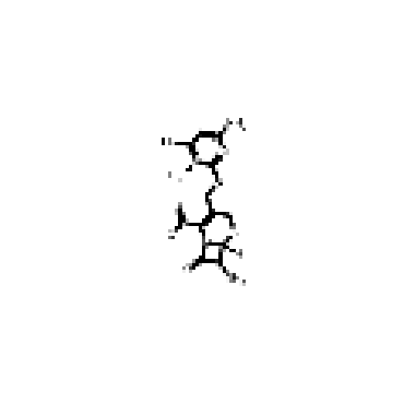 C[n+]1c(N)cc(N)nc1SCC1=C(C(=O)[O-])N2C(=O)C(N)[C@H]2SC1